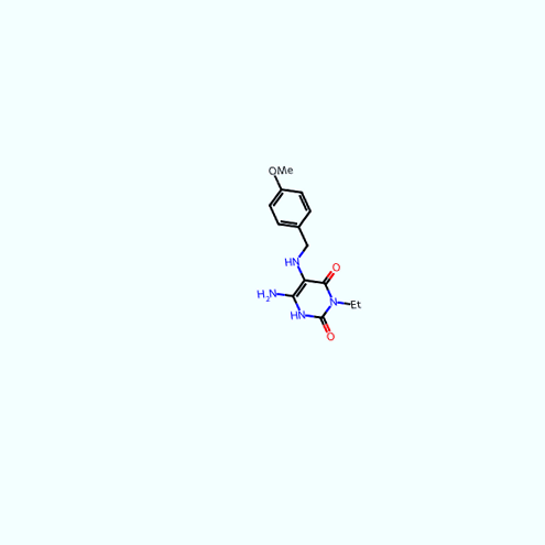 CCn1c(=O)[nH]c(N)c(NCc2ccc(OC)cc2)c1=O